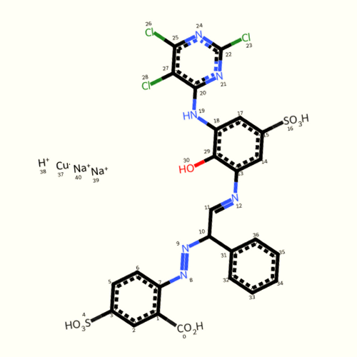 O=C(O)c1cc(S(=O)(=O)O)ccc1N=NC(C=Nc1cc(S(=O)(=O)O)cc(Nc2nc(Cl)nc(Cl)c2Cl)c1O)c1ccccc1.[Cu].[H+].[Na+].[Na+]